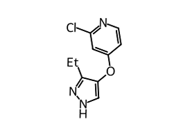 CCc1n[nH]cc1Oc1ccnc(Cl)c1